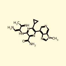 CC(=N)/C(=C\N)Nc1nc(C2CC2)c(-c2cncc3c2ncn3C)nc1C(N)=O